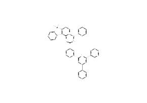 CC1(C)c2ccccc2-c2c1ccc1c(-c3ccccc3)nc(-c3cccc(-c4cc(-c5ccccc5)cc(-c5ccccc5)n4)c3)nc21